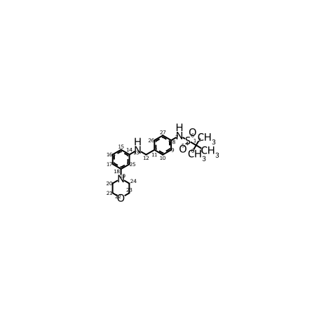 CC(C)(C)S(=O)(=O)Nc1ccc(CNc2cccc(N3CCOCC3)c2)cc1